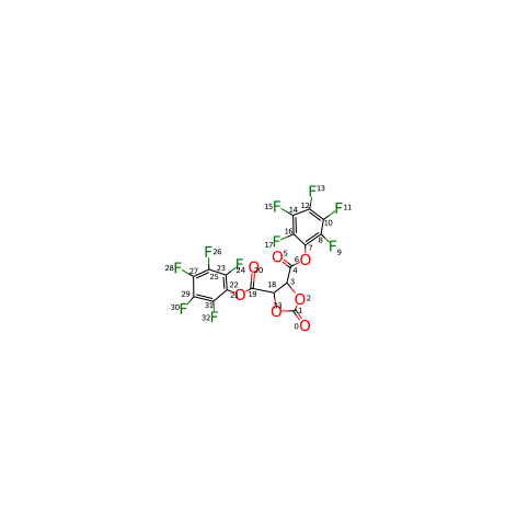 O=C1OC(C(=O)Oc2c(F)c(F)c(F)c(F)c2F)C(C(=O)Oc2c(F)c(F)c(F)c(F)c2F)O1